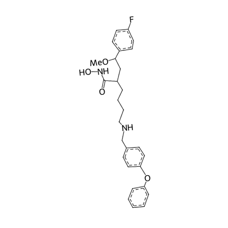 COC(CC(CCCCNCc1ccc(Oc2ccccc2)cc1)C(=O)NO)c1ccc(F)cc1